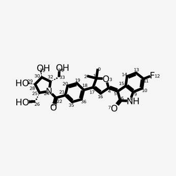 CC1(C)O/C(=C2/C(=O)Nc3cc(F)ccc32)C=C1c1ccc(C(=O)N2[C@H](CO)[C@H](O)[C@H](O)[C@@H]2CO)cc1